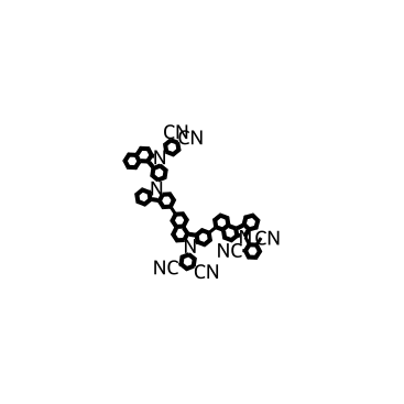 N#Cc1cc(C#N)cc(-n2c3ccc(-c4cccc5c4ccc4c5c5ccccc5n4-c4c(C#N)cccc4C#N)cc3c3c4ccc(-c5ccc6c(c5)c5ccccc5n6-c5ccc6c(c5)c5c7ccccc7ccc5n6-c5ccc(C#N)c(C#N)c5)cc4ccc32)c1